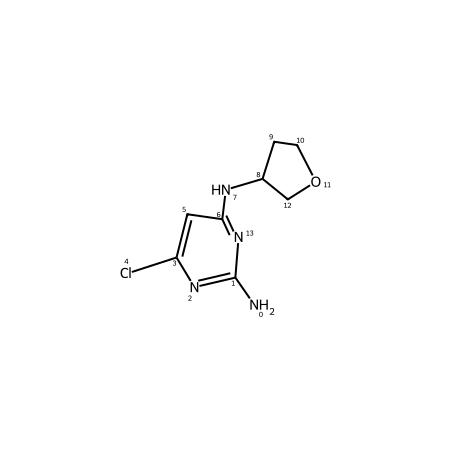 Nc1nc(Cl)cc(NC2CCOC2)n1